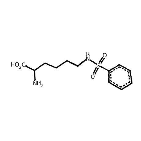 NC(CCCCNS(=O)(=O)c1ccccc1)C(=O)O